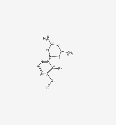 CCOc1ncnc(N2CC(C)CC(C)C2)c1F